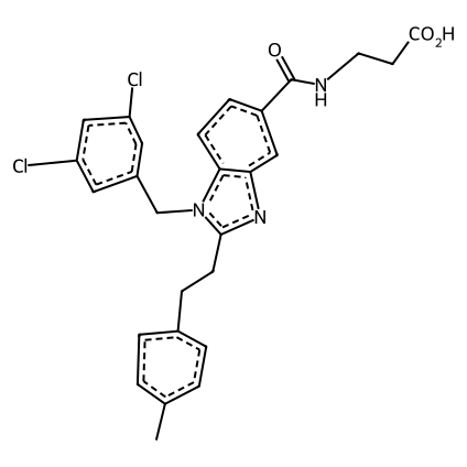 Cc1ccc(CCc2nc3cc(C(=O)NCCC(=O)O)ccc3n2Cc2cc(Cl)cc(Cl)c2)cc1